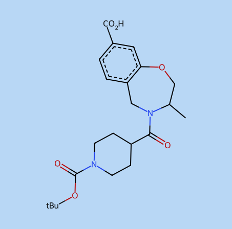 CC1COc2cc(C(=O)O)ccc2CN1C(=O)C1CCN(C(=O)OC(C)(C)C)CC1